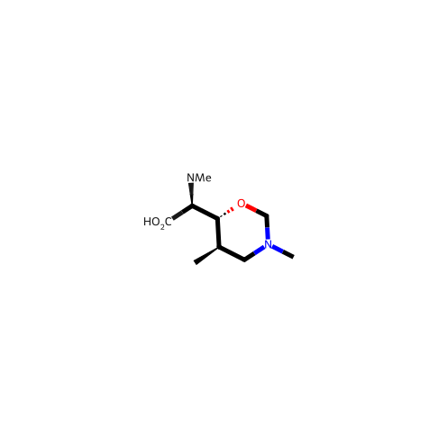 CN[C@H](C(=O)O)[C@@H]1OCN(C)C[C@H]1C